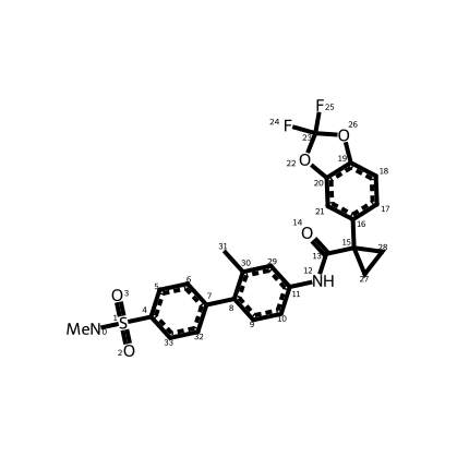 CNS(=O)(=O)c1ccc(-c2ccc(NC(=O)C3(c4ccc5c(c4)OC(F)(F)O5)CC3)cc2C)cc1